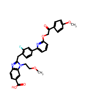 COCCn1c(Cc2ccc(-c3cccc(OCC(=O)c4ccc(OC)cc4)n3)cc2F)nc2ccc(C(=O)O)cc21